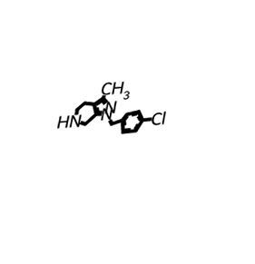 Cc1nn(Cc2ccc(Cl)cc2)c2c1CCNC2